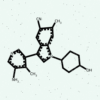 Cc1cc2c(cc1C#N)c(-c1cncc(N)c1C)cn2C1CCC(O)CC1